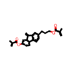 C=C(C)C(=O)OCCCc1ccc2c(c1)C(=C)c1cc(OC(=O)C(=C)C)ccc1-2